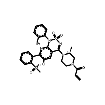 C=CC(=O)N1CCN(C2=NS(=O)(=O)N(c3ccccc3C(C)C)c3nc(-c4ccccc4S(C)(=O)=O)c(Cl)cc32)[C@@H](C)C1